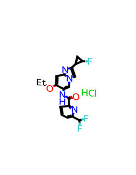 CCOc1cc2nc(C3CC3F)cn2cc1NC(=O)c1cccc(C(F)F)n1.Cl